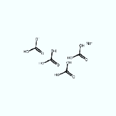 O=C(O)O.O=C(O)O.O=C(O)O.O=C([O-])O.[Na+]